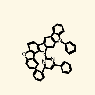 c1ccc(-c2cc(-c3ccccc3)nc(-n3c4cc5c(cc4c4ccc6oc7ccccc7c6c43)c3ccccc3n5-c3ccccc3)n2)cc1